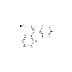 O=C(O)/C=C(/c1ccccc1)c1ccncc1